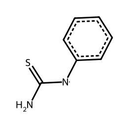 NC(=S)[N]c1ccccc1